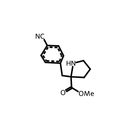 COC(=O)C1(Cc2ccc(C#N)cc2)CCCN1